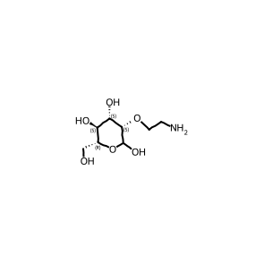 NCCO[C@@H]1C(O)O[C@H](CO)[C@@H](O)[C@@H]1O